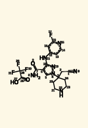 N#CCC1(n2cc(C(N)=O)c(Nc3ccnc(F)c3)n2)CCNCC1.O=C(O)C(F)(F)F